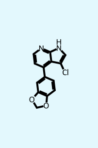 Clc1c[nH]c2nccc(-c3ccc4c(c3)OCO4)c12